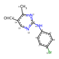 Cc1nc(Nc2ccc(Br)cc2)ncc1C=O